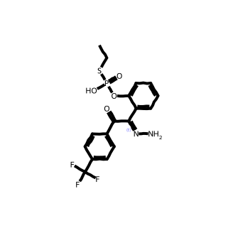 CCSP(=O)(O)Oc1ccccc1/C(=N\N)C(=O)c1ccc(C(F)(F)F)cc1